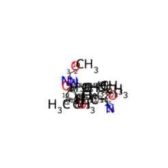 COCCc1noc([C@]23CC[C@@H](C)[C@H](C)[C@H]2[C@H]2C(=O)C=C4[C@@]5(C)C=C(C#N)C(=O)C(C)(C)[C@@H]5CC[C@@]4(C)[C@]2(C)CC3)n1